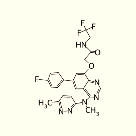 Cc1ccc(N(C)c2ncnc3c(OCC(=O)NCC(F)(F)F)cc(-c4ccc(F)cc4)cc23)nn1